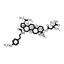 C=C(C)[C@@H]1CC[C@]2(C(=O)NCCc3ccc(OC)cc3)CC[C@]3(C)[C@H](CC[C@@H]4[C@@]5(C)CC[C@H](OC(=O)CC(C)(C)C(=O)O)C(C)(C)[C@@H]5CC[C@]43C)[C@@H]12